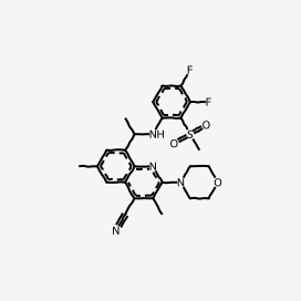 Cc1cc(C(C)Nc2ccc(F)c(F)c2S(C)(=O)=O)c2nc(N3CCOCC3)c(C)c(C#N)c2c1